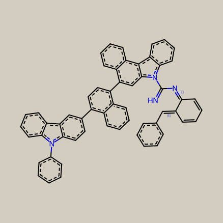 N=C(/N=C1/C=CC=C/C1=C\c1ccccc1)n1c2ccccc2c2c3ccccc3c(-c3ccc(-c4ccc5c(c4)c4ccccc4n5-c4ccccc4)c4ccccc34)cc21